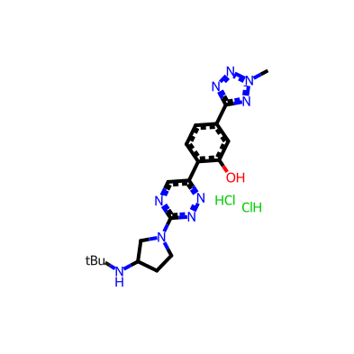 Cl.Cl.Cn1nnc(-c2ccc(-c3cnc(N4CCC(NC(C)(C)C)C4)nn3)c(O)c2)n1